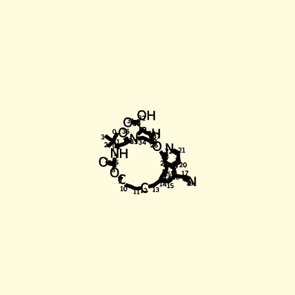 CC(C)(C)[C@@H]1NC(=O)OCCCCCc2cc(C#N)c3ccnc(c3c2)O[C@@H]2C[C@@H](C(=O)O)N(C2)C1=O